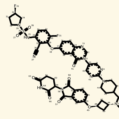 CN(CC1CCN(c2ncc(-n3cnc4ccc(Oc5c(F)ccc(NS(=O)(=O)N6CC[C@@H](F)C6)c5C#N)cc4c3=O)cn2)CC1)[C@H]1C[C@H](Oc2ccc3c(c2)C(=O)N(C2CCC(=O)NC2=O)C3=O)C1